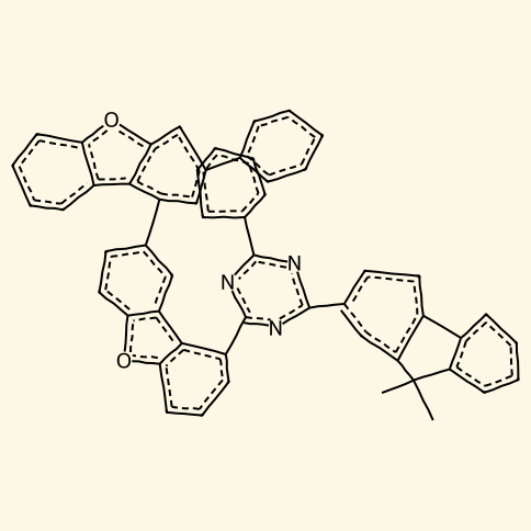 CC1(C)c2ccccc2-c2ccc(-c3nc(-c4ccccc4)nc(-c4cccc5oc6ccc(-c7cc(-c8ccccc8)cc8oc9ccccc9c78)cc6c45)n3)cc21